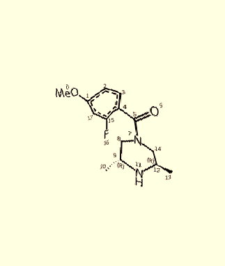 COc1ccc(C(=O)N2C[C@@H](C)N[C@H](C)C2)c(F)c1